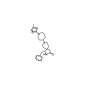 Cc1noc(N2CCCC(N3CCC4(CC3)CC(=O)NC4Cc3ccccc3)CC2)n1